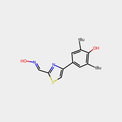 CC(C)(C)c1cc(-c2csc(C=NO)n2)cc(C(C)(C)C)c1O